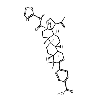 C=C(C)[C@@H]1CC[C@]2(C(=O)N(C)c3nccs3)CC[C@]3(C)[C@H](CC[C@@H]4[C@@]5(C)CC=C(c6ccc(C(=O)O)cc6)C(C)(C)[C@@H]5CC[C@]43C)[C@@H]12